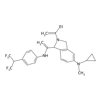 C=C(Nc1ccc(C(C(F)(F)F)C(F)(F)F)cc1)C1c2ccc(N(C)C3CC3)cc2CN1C(=C)CC